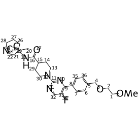 COCCOCc1ccc(-c2nc(N3CCC(C(=O)NC4(C)CCN5CCC4CC5)CC3)ncc2F)cc1